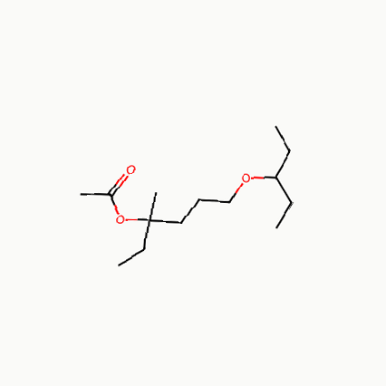 CCC(CC)OCCCC(C)(CC)OC(C)=O